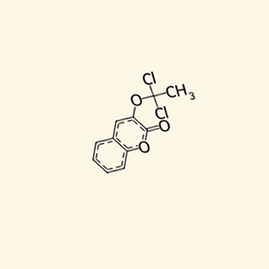 CC(Cl)(Cl)Oc1cc2ccccc2oc1=O